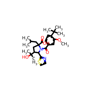 COc1cc(C(=O)N2C(c3nccs3)C(C(C)(C)O)CC2(CC(C)C)C(=O)O)ccc1C(C)(C)C